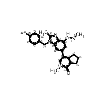 CSNc1cc(-c2cn(C)c(=O)c3c2CCC3)cc2c1nc(C)n2Cc1ccc(F)cc1